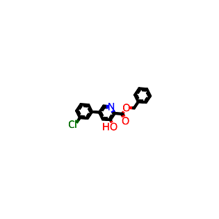 O=C(OCc1ccccc1)c1ncc(-c2cccc(Cl)c2)cc1O